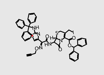 C#CCON=C(C(=O)NC1C(=O)N2C(C(=O)OC(c3ccccc3)c3ccccc3)=C(CI)CS[C@@H]12)c1csc(NC(c2ccccc2)(c2ccccc2)c2ccccc2)n1